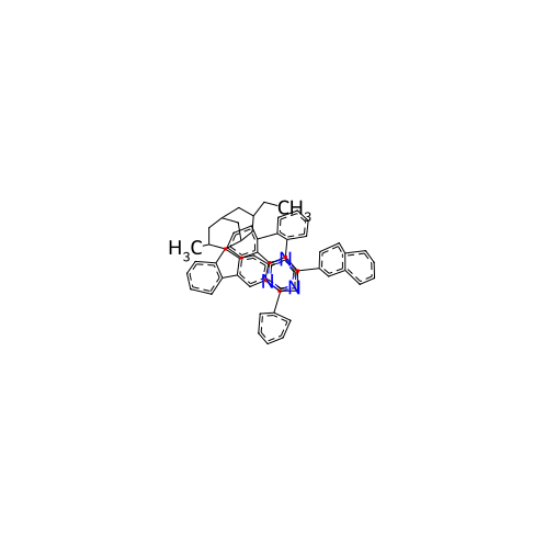 CCC1CC2CC(C)C3(c4ccccc4-c4cc5cccc(-c6ccccc6-c6ccccc6-c6nc(-c7ccccc7)nc(-c7ccc8ccccc8c7)n6)c5cc43)C(C1)C2